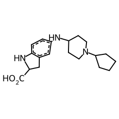 O=C(O)C1Cc2cc(NC3CCN(C4CCCC4)CC3)ccc2N1